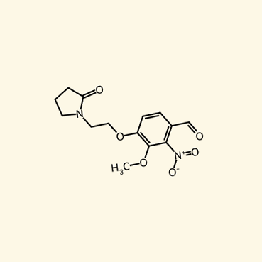 COc1c(OCCN2CCCC2=O)ccc(C=O)c1[N+](=O)[O-]